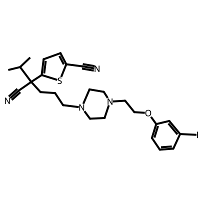 CC(C)C(C#N)(CCCN1CCN(CCOc2cccc(I)c2)CC1)c1ccc(C#N)s1